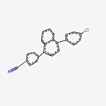 N#Cc1ccc(-c2ccc(-c3ccc(Cl)cc3)c3ccccc23)cc1